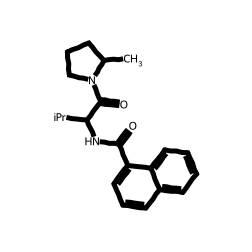 CC(C)C(NC(=O)c1cccc2ccccc12)C(=O)N1CCCC1C